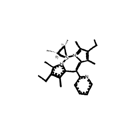 CCC1=C(C)C2=C(c3ccccn3)c3c(C)c(CC)c(C)n3S3([C@H](C)[C@@H]3C)[N+]2=C1C